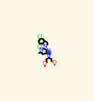 COCCC(CCOC)n1nnc2c(N3CCc4cc(Cl)cc(Cl)c43)nc(C)cc21